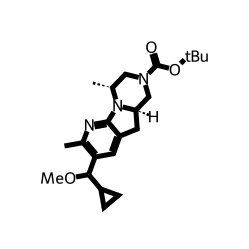 COC(c1cc2c(nc1C)N1[C@H](C2)CN(C(=O)OC(C)(C)C)C[C@H]1C)C1CC1